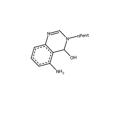 CCCCCN1C=Nc2cccc(N)c2C1O